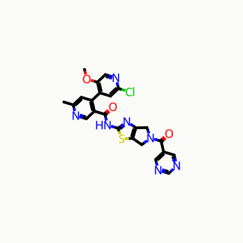 COc1cnc(Cl)cc1-c1cc(C)ncc1C(=O)Nc1nc2c(s1)CN(C(=O)c1cncnc1)C2